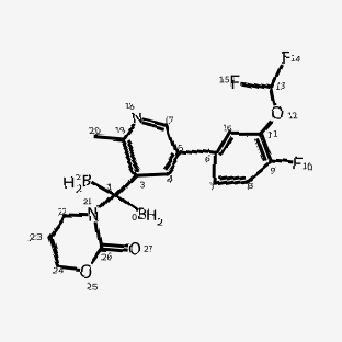 BC(B)(c1cc(-c2ccc(F)c(OC(F)F)c2)cnc1C)N1CCCOC1=O